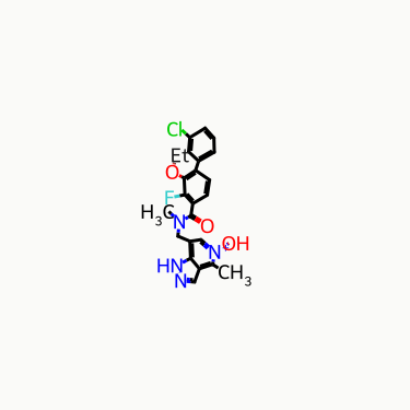 CCOc1c(-c2cccc(Cl)c2)ccc(C(=O)N(C)Cc2c[n+](O)c(C)c3cn[nH]c23)c1F